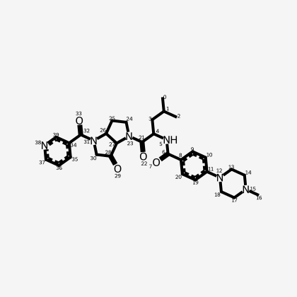 CC(C)CC(NC(=O)c1ccc(N2CCN(C)CC2)cc1)C(=O)N1CCC2C1C(=O)CN2C(=O)c1cccnc1